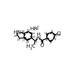 Br.CC(NC(=O)c1ccc(Cl)cc1)c1ccc2c(c1)CCN2